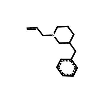 C=CCN1CCCC([CH]c2ccccc2)C1